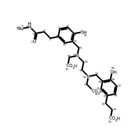 CC(C)(C)NC(=O)CCc1ccc(O)c(CN(CCN(CC(=O)O)Cc2cc(CCC(=O)O)ccc2O)CC(=O)O)c1